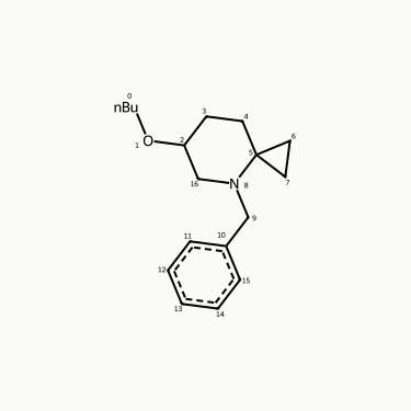 CCCCOC1CCC2(CC2)N(Cc2ccccc2)C1